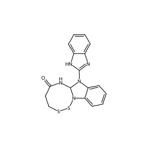 O=C1CCSSN2c3ccccc3N(c3nc4ccccc4[nH]3)C2N1